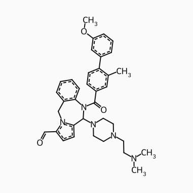 COc1cccc(-c2ccc(C(=O)N3c4ccccc4Cn4c(C=O)ccc4C3N3CCN(CCN(C)C)CC3)cc2C)c1